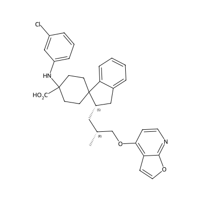 C[C@@H](COc1ccnc2occc12)C[C@H]1Cc2ccccc2C12CCC(Nc1cccc(Cl)c1)(C(=O)O)CC2